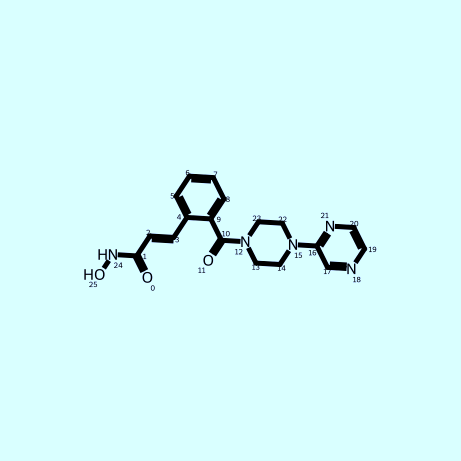 O=C(/C=C/c1ccccc1C(=O)N1CCN(c2cnccn2)CC1)NO